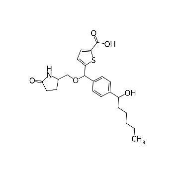 CCCCCC(O)c1ccc(C(OCC2CCC(=O)N2)c2ccc(C(=O)O)s2)cc1